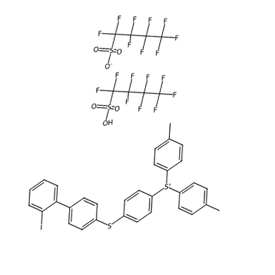 Cc1ccc([S+](c2ccc(C)cc2)c2ccc(Sc3ccc(-c4ccccc4I)cc3)cc2)cc1.O=S(=O)(O)C(F)(F)C(F)(F)C(F)(F)C(F)(F)F.O=S(=O)([O-])C(F)(F)C(F)(F)C(F)(F)C(F)(F)F